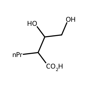 CCCC(C(=O)O)C(O)CO